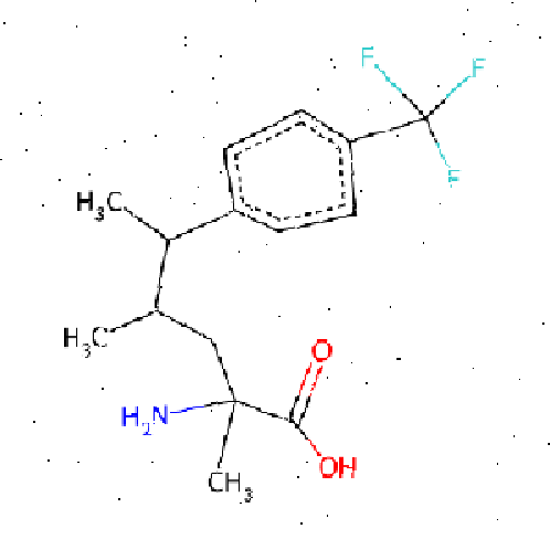 CC(CC(C)(N)C(=O)O)C(C)c1ccc(C(F)(F)F)cc1